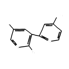 CC(C)(C)c1ccnc(-c2cc(Cl)cnc2N)c1